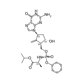 C=C1[C@H](CO[P@@](=O)(N[C@@H](C)C(=O)OC(C)C)Oc2ccccc2)[C@@H](O)C[C@@H]1n1cnc2c(=O)[nH]c(N)nc21